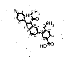 CNC(=O)c1c(-c2ccc(F)cc2)oc2ccc(-c3cc(C(=O)O)ccc3OC)cc12